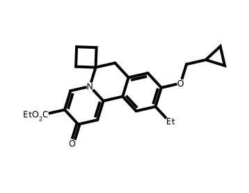 CCOC(=O)c1cn2c(cc1=O)-c1cc(CC)c(OCC3CC3)cc1CC21CCC1